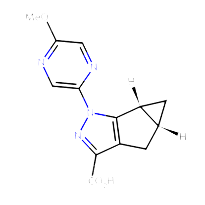 COc1cnc(-n2nc(C(=O)O)c3c2[C@@H]2C[C@@H]2C3)cn1